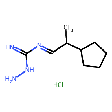 Cl.N=C(N=CC(C1CCCC1)C(F)(F)F)NN